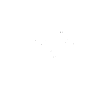 CCCC1=CC2C=C(c3c[nH]c(-c4ccc(F)cc4)c3-c3ccncc3)CCN2C1